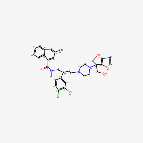 CN(C[C@@H](CCN1CCN(C(CO)(CO)c2ccco2)CC1)c1ccc(Cl)c(Cl)c1)C(=O)c1cc(C#N)cc2ccccc12